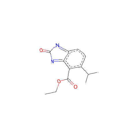 CCOC(=O)c1c(C(C)C)ccc2c1=NC(=O)N=2